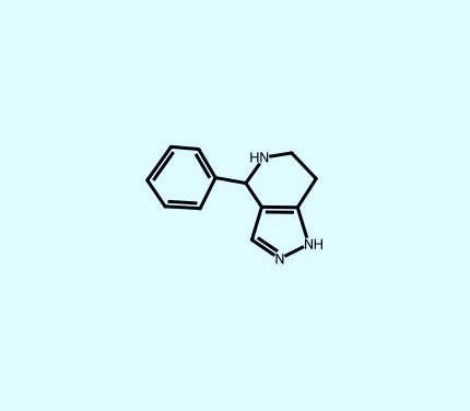 c1ccc(C2NCCc3[nH]ncc32)cc1